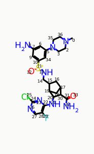 CN1CCN(c2cc(N)cc([S+]([O-])NCC3CC4CC3C(Nc3nc(Cl)ncc3F)C4C(N)=O)c2)CC1